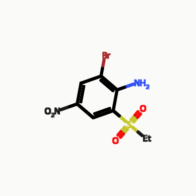 CCS(=O)(=O)c1cc([N+](=O)[O-])cc(Br)c1N